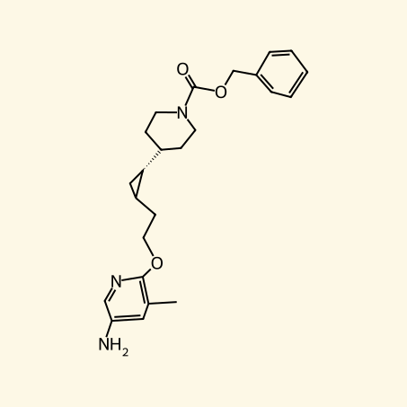 Cc1cc(N)cnc1OCCC1C[C@@H]1C1CCN(C(=O)OCc2ccccc2)CC1